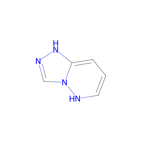 C1=CNN2C=NNC2=C1